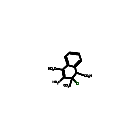 O=C(O)C1=C(C(=O)O)C(Cl)(C(=O)O)C(C(=O)O)c2ccccc21